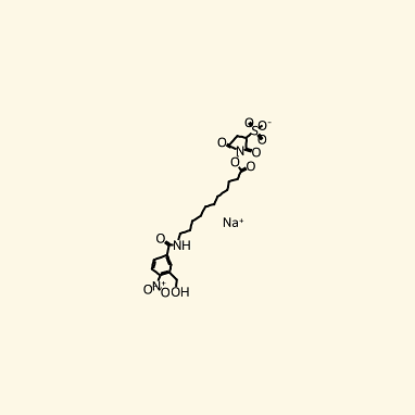 O=C(CCCCCCCCCCNC(=O)c1ccc([N+](=O)[O-])c(CO)c1)ON1C(=O)CC(S(=O)(=O)[O-])C1=O.[Na+]